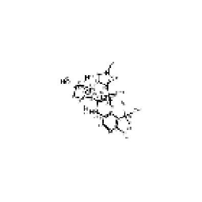 Cn1cc([C@H]2[C@H]3O[C@H](C[C@@H]3O)[C@@H]2C(=O)Nc2ccc(F)c(C(F)(F)F)c2)c(C(F)(F)F)n1